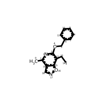 Cc1nc(OCc2ccccc2)c(CI)c2oncc12